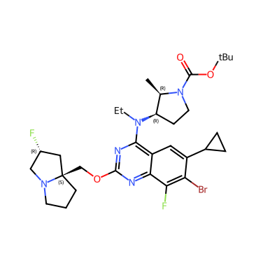 CCN(c1nc(OC[C@@]23CCCN2C[C@H](F)C3)nc2c(F)c(Br)c(C3CC3)cc12)[C@@H]1CCN(C(=O)OC(C)(C)C)[C@@H]1C